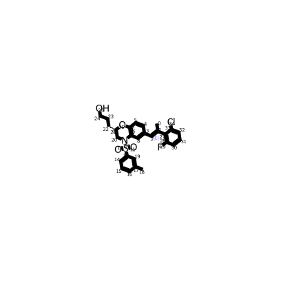 C/C(=C\c1ccc2c(c1)N(S(=O)(=O)c1cccc(C)c1)C[C@H](CCCO)O2)c1c(F)cccc1Cl